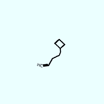 [CH]=CCCC1CCC1